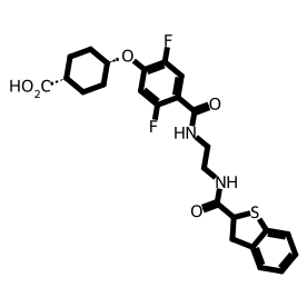 O=C(NCCNC(=O)C1Cc2ccccc2S1)c1cc(F)c(O[C@H]2CC[C@@H](C(=O)O)CC2)cc1F